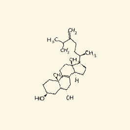 C=C(CC[C@@H](C)[C@H]1CC[C@H]2C3=C(CC[C@]12C)[C@@]1(C)CC[C@H](O)CC1[C@@H](O)C3)C(C)C